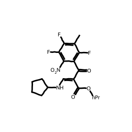 CCCOC(=O)C(=CNC1CCCC1)C(=O)c1c(F)c(C)c(F)c(F)c1[N+](=O)[O-]